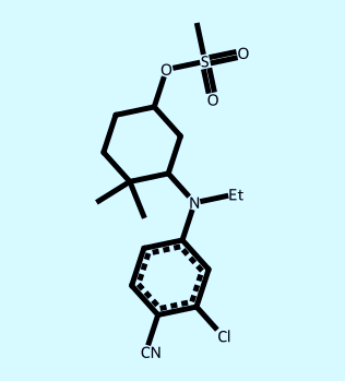 CCN(c1ccc(C#N)c(Cl)c1)C1CC(OS(C)(=O)=O)CCC1(C)C